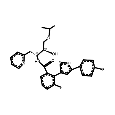 CC(C)OC[C@@H](O)[C@@H](Cc1ccccn1)NC(=O)c1cccc(F)c1-c1cc(-c2ccc(F)cc2)[nH]n1